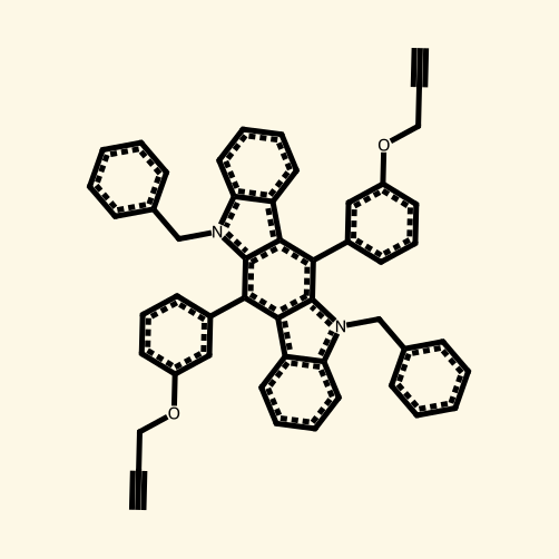 C#CCOc1cccc(-c2c3c4ccccc4n(Cc4ccccc4)c3c(-c3cccc(OCC#C)c3)c3c4ccccc4n(Cc4ccccc4)c23)c1